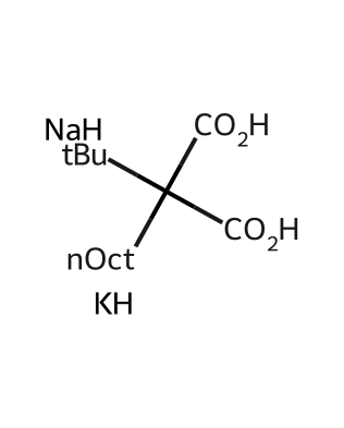 CCCCCCCCC(C(=O)O)(C(=O)O)C(C)(C)C.[KH].[NaH]